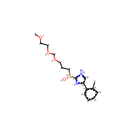 COCCOCOCCC[S@+]([O-])c1nc(-c2ccccc2C)c[nH]1